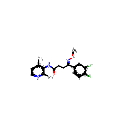 CON=C(CCC(=O)Nc1c(C)ccnc1C)c1ccc(Cl)c(Cl)c1